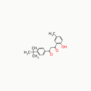 Cc1ccc(O)c(C(=O)CC(=O)c2ccc(C(C)(C)C)cc2)c1